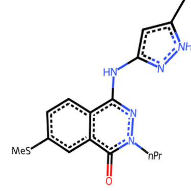 CCCn1nc(Nc2cc(C)[nH]n2)c2ccc(SC)cc2c1=O